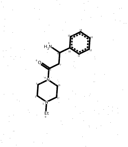 CCN1CCN(C(=O)CC(N)c2ccccc2)CC1